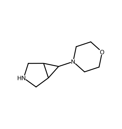 C1CN(C2C3CNCC32)CCO1